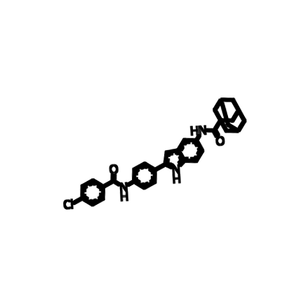 O=C(Nc1ccc(-c2cc3cc(NC(=O)C45CC6CC(CC(C6)C4)C5)ccc3[nH]2)cc1)c1ccc(Cl)cc1